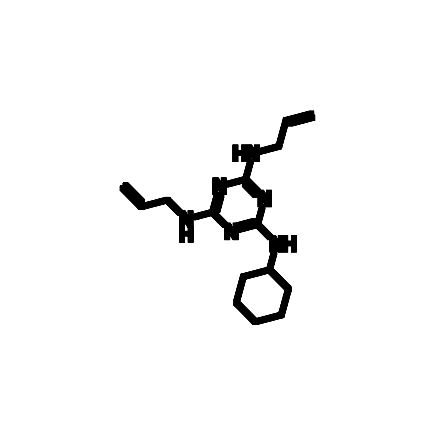 C=CCNc1nc(NCC=C)nc(NC2CCCCC2)n1